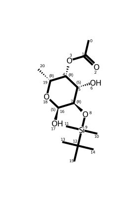 CC(=O)O[C@@H]1[C@H](O)[C@@H](O[Si](C)(C)C(C)(C)C)[C@@H](O)O[C@@H]1C